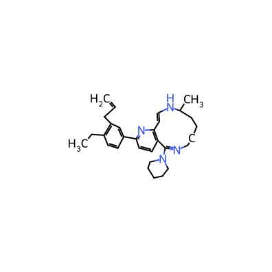 C=CCc1cc(-c2ccc3c(n2)/C=C/NC(C)CCCC/N=C\3N2CCCCC2)ccc1CC